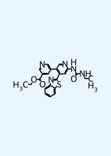 CCNC(=O)Nc1cc(-c2nc3ccccc3s2)c(-c2cncc(C(=O)OCC)c2)cn1